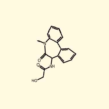 CN1C(=O)C(NC(=O)CO)c2ccccc2-c2ccccc21